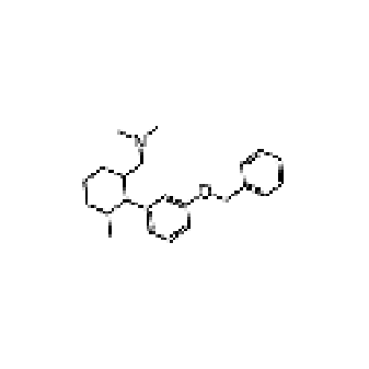 CC1CCCC(CN(C)C)[C]1c1cccc(OCc2ccccc2)c1